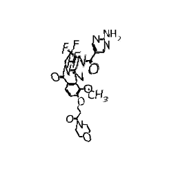 COc1c(OCCC(=O)N2CCOCC2)ccc2c(=O)n(CC(F)(F)F)c(NC(=O)c3cnc(N)nc3)nc12